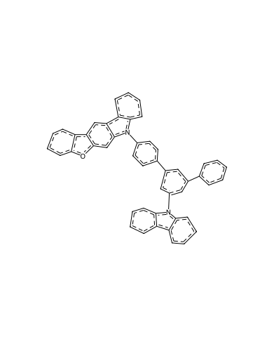 c1ccc(-c2cc(-c3ccc(-n4c5ccccc5c5cc6c(cc54)oc4ccccc46)cc3)cc(-n3c4ccccc4c4ccccc43)c2)cc1